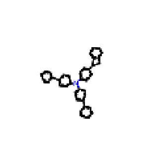 c1ccc(-c2ccc(N(c3ccc(-c4ccccc4)cc3)c3ccc(C4Cc5ccccc54)cc3)cc2)cc1